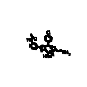 CC(=O)Nc1cc(-c2cc(C(c3ccc(Cl)cc3)N3CC(CCN)C3)c(-c3nnc[nH]3)s2)ccn1